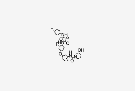 O=C(Nc1cc(Oc2ccc(NC(=O)C3(C(=O)Nc4ccc(F)cc4)CC3)c(F)c2)ccn1)N1CCCC(O)C1